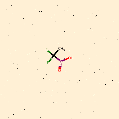 CC(F)(F)[PH](=O)O